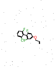 C=CCOc1cc(F)c(-c2c(F)c[c]cc2Cl)c(F)c1